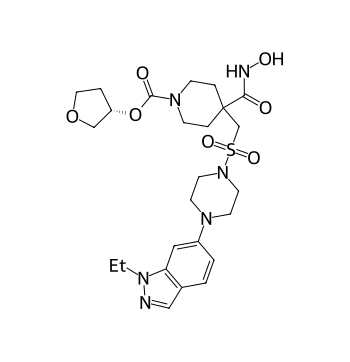 CCn1ncc2ccc(N3CCN(S(=O)(=O)CC4(C(=O)NO)CCN(C(=O)O[C@H]5CCOC5)CC4)CC3)cc21